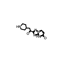 O=C(CC1CCNCC1)c1nc2[nH]c(=O)ccn2n1